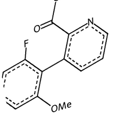 COC(=O)c1ncccc1-c1c(F)cccc1OC